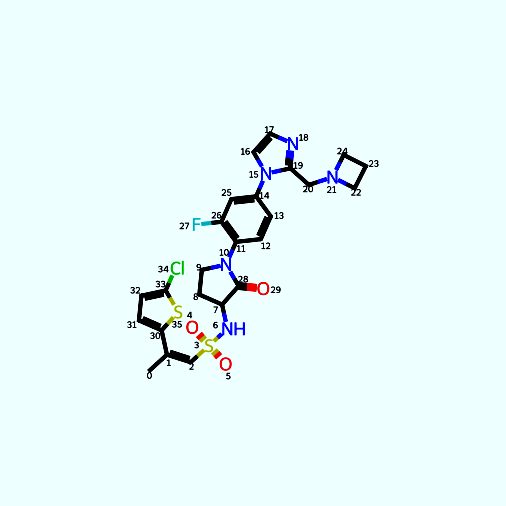 CC(=CS(=O)(=O)NC1CCN(c2ccc(-n3ccnc3CN3CCC3)cc2F)C1=O)c1ccc(Cl)s1